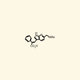 CNCc1ccc2c(C=C(C(=O)O)c3ccccc3)c[nH]c2n1